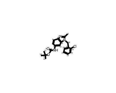 Cc1nc2ccc(NC(=O)OC(C)(C)C)cc2n1Cc1ccccc1Cl